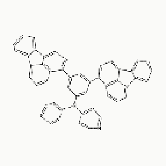 c1ccc(N(c2ccncc2)c2cc(-c3ccc4c5c(cccc35)-c3ccccc3-4)cc(-c3ccc4c5c(cccc35)-c3ccccc3-4)c2)cc1